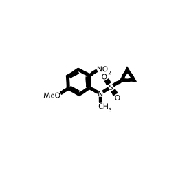 COc1ccc([N+](=O)[O-])c(N(C)S(=O)(=O)C2CC2)c1